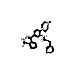 CN1CCN(c2ccc(-c3n[nH]c(=O)c4ccccc34)cc2NC(=O)Cc2ccccc2)CC1